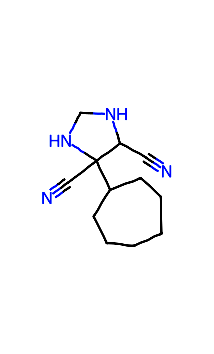 N#CC1NCNC1(C#N)C1CCCCCC1